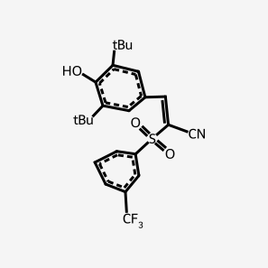 CC(C)(C)c1cc(/C=C(/C#N)S(=O)(=O)c2cccc(C(F)(F)F)c2)cc(C(C)(C)C)c1O